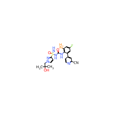 CC(C)(O)Cn1ccc(S(=N)(=O)NC(=O)Nc2c(P)cc(F)cc2-c2ccnc(C#N)c2)n1